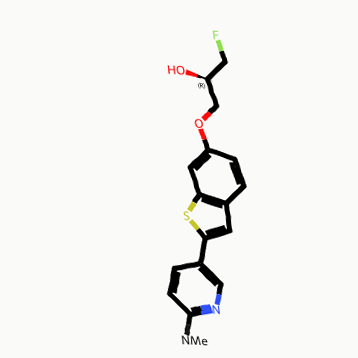 CNc1ccc(-c2cc3ccc(OC[C@@H](O)CF)cc3s2)cn1